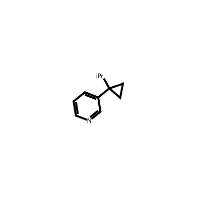 CC(C)C1(c2cccnc2)CC1